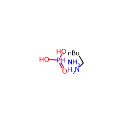 CCCCCN.N.O=[PH](O)O